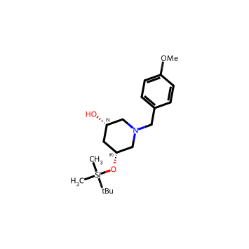 COc1ccc(CN2C[C@@H](O)C[C@@H](O[Si](C)(C)C(C)(C)C)C2)cc1